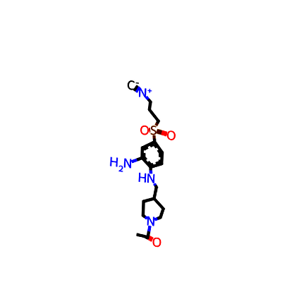 [C-]#[N+]CCCS(=O)(=O)c1ccc(NCC2CCN(C(C)=O)CC2)c(N)c1